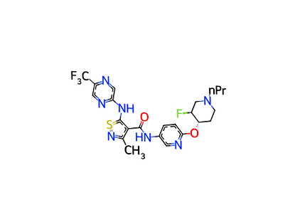 CCCN1CC[C@H](Oc2ccc(NC(=O)c3c(C)nsc3Nc3cnc(C(F)(F)F)cn3)cn2)[C@@H](F)C1